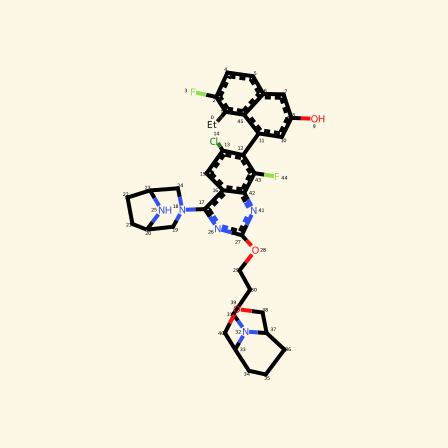 CCc1c(F)ccc2cc(O)cc(-c3c(Cl)cc4c(N5CC6CCC(C5)N6)nc(OCCCN5C6CCCC5COC6)nc4c3F)c12